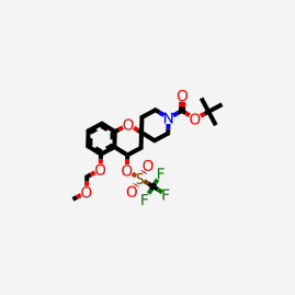 COCOc1cccc2c1C(OS(=O)(=O)C(F)(F)F)CC1(CCN(C(=O)OC(C)(C)C)CC1)O2